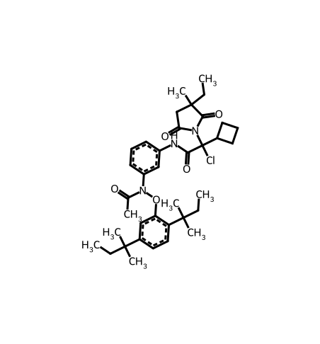 CCC1(C)CC(=O)N(C(Cl)(C(=O)Nc2cccc(N(Oc3cc(C(C)(C)CC)ccc3C(C)(C)CC)C(C)=O)c2)C2CCC2)C1=O